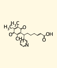 CC1=C(C)C(=O)C(C(CCCC=CC(=O)O)c2cccnc2)=C(C)C1=O